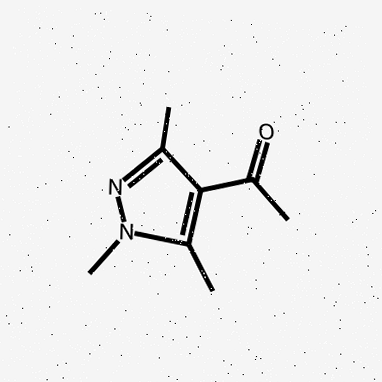 CC(=O)c1c(C)nn(C)c1C